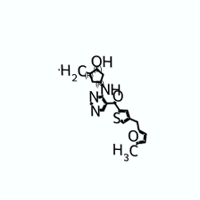 [CH2][C@@H]1C[C@@H](Nc2ncncc2C(=O)c2cc(Cc3ccc(C)o3)cs2)C[C@@H]1O